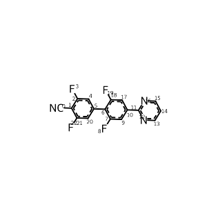 N#Cc1c(F)cc(-c2c(F)cc(-c3ncccn3)cc2F)cc1F